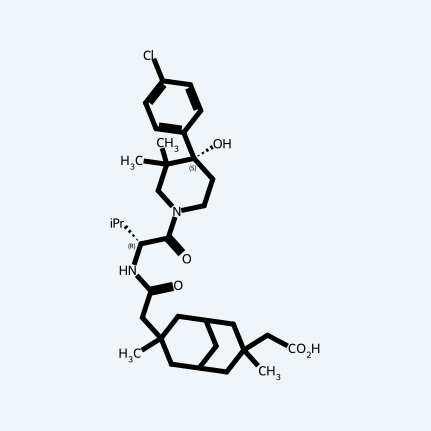 CC(C)[C@@H](NC(=O)CC1(C)CC2CC(CC(C)(CC(=O)O)C2)C1)C(=O)N1CC[C@](O)(c2ccc(Cl)cc2)C(C)(C)C1